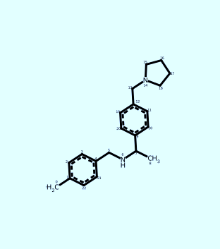 [CH2]c1ccc(CNC(C)c2ccc(CN3CCCC3)cc2)cc1